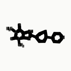 Cn1c(=O)c2[nH]c(-c3ccc(-c4ccncc4)cc3)nc2n(C)c1=O